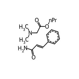 CCCOC(=O)CN(C)C.NC(=O)C=Cc1ccccc1